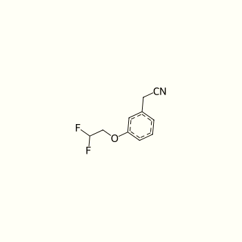 N#CCc1cccc(OCC(F)F)c1